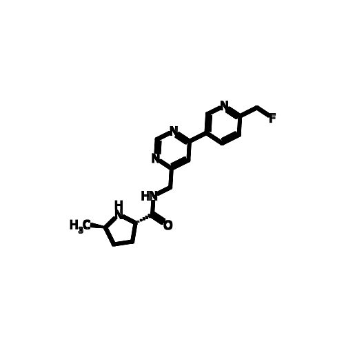 C[C@@H]1CC[C@@H](C(=O)NCc2cc(-c3ccc(CF)nc3)ncn2)N1